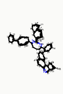 CC1CC/C(c2ccc(-c3ccccc3)cc2)=N\C(c2ccc3ccccc3c2)=N/C1c1ccccc1-c1ccc2ccc3ncc4ccccc4c3c2c1